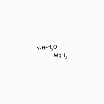 F.O.[MgH2].[Y]